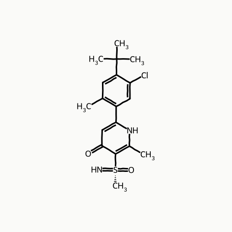 Cc1cc(C(C)(C)C)c(Cl)cc1-c1cc(=O)c([S@](C)(=N)=O)c(C)[nH]1